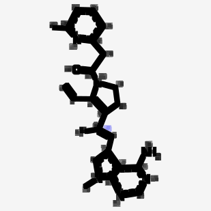 C=CC1=C(/C(F)=C/c2cn(C)c3ncnc(N)c23)CCN1C(=O)Cc1cccc(C)n1